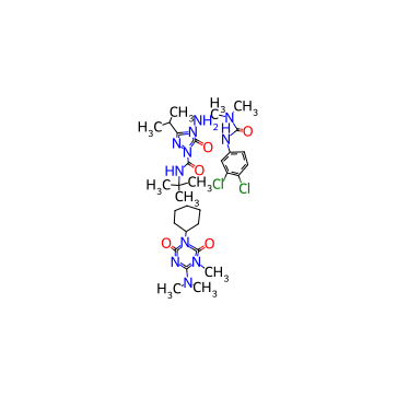 CC(C)c1nn(C(=O)NC(C)(C)C)c(=O)n1N.CN(C)C(=O)Nc1ccc(Cl)c(Cl)c1.CN(C)c1nc(=O)n(C2CCCCC2)c(=O)n1C